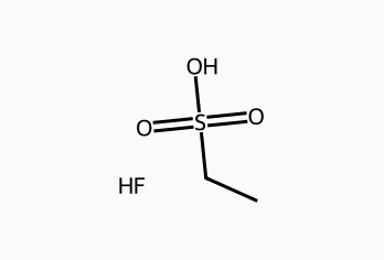 CCS(=O)(=O)O.F